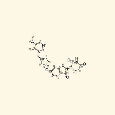 COc1cncc(CN2CC[C@H](Oc3ccc4c(c3)CN(C3CCC(=O)NC3=O)C4=O)C2)c1C